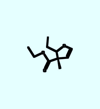 CCOC(=O)[C@@]1(C)C=COC1CC